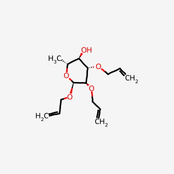 C=CCO[C@H]1O[C@H](C)[C@@H](O)[C@H](OCC=C)[C@H]1OCC=C